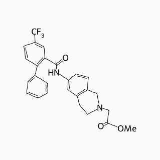 COC(=O)CN1CCc2cc(NC(=O)c3cc(C(F)(F)F)ccc3-c3ccccc3)ccc2C1